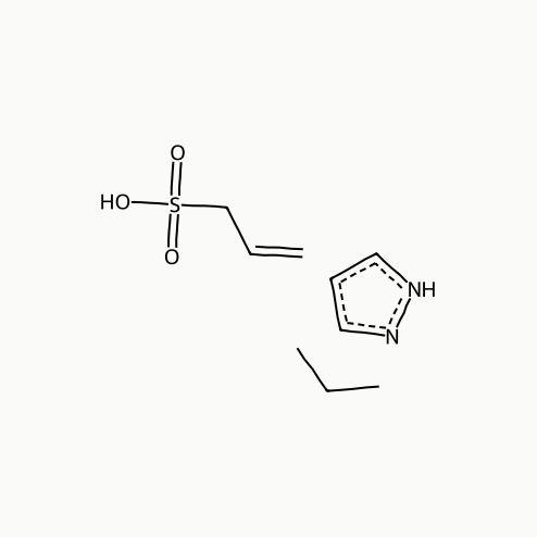 C=CCS(=O)(=O)O.CCC.c1cn[nH]c1